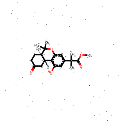 CCCCOC(=O)C(C)(C)c1cc(O)c2c(c1)OC(C)(C)[C@@H]1CCC(=O)C[C@@H]21